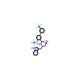 N#CCC(Cc1c[nH]c2ccccc12)NC(=O)c1cc(-c2cccc(C(F)(F)F)c2)ccc1OC(F)(F)F